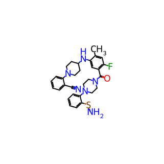 Cc1cc(F)c(C(=O)N2CCN(c3ccccc3SN)CC2)cc1NC1CCN(c2ccccc2C#N)CC1